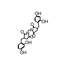 O=C1CC(Cc2ccc(O)cc2O)C(=O)N1CN1C(=O)CC(Cc2ccc(O)cc2O)C1=O